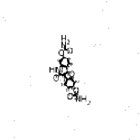 NC(=O)Oc1ccc2c(c1)[nH]c(=O)c1c3ccc(OC(N)=O)cc3oc21